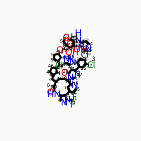 C[C@H]1C(=O)Nc2cnn(C(F)F)c2-c2ccnc(c2)[C@@H](n2cnc(-c3cc(Cl)ccc3-n3cc(Cl)nn3)cc2=O)CCC1CC1CCC(CC2CCC(OC[C@@]34CO[C@@H](O3)[C@H](Nc3ccnc(C(F)(F)F)n3)[C@@H](O)[C@H]4O)C2)C1